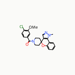 COc1cc(C(=O)N2CCC3(CC2)Oc2ccccc2-c2c3cnn2C)ccc1Cl